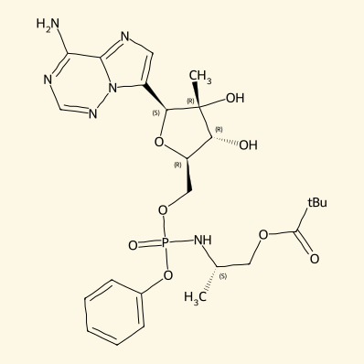 C[C@@H](COC(=O)C(C)(C)C)NP(=O)(OC[C@H]1O[C@@H](c2cnc3c(N)ncnn23)[C@](C)(O)[C@@H]1O)Oc1ccccc1